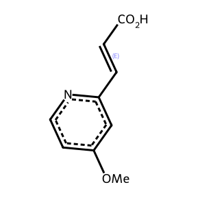 COc1ccnc(/C=C/C(=O)O)c1